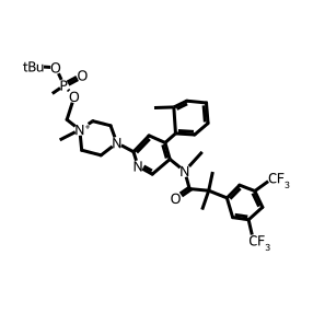 Cc1ccccc1-c1cc(N2CC[N+](C)(COP(C)(=O)OC(C)(C)C)CC2)ncc1N(C)C(=O)C(C)(C)c1cc(C(F)(F)F)cc(C(F)(F)F)c1